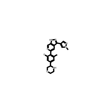 Cc1cc(C2COCCN2)cc(F)c1-c1cc2c(-c3cnn(C)c3)n[nH]c2cn1